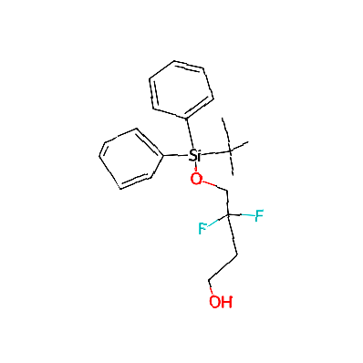 CC(C)(C)[Si](OCC(F)(F)CCO)(c1ccccc1)c1ccccc1